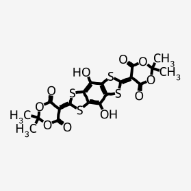 CC1(C)OC(=O)C(=C2Sc3c(O)c4c(c(O)c3S2)SC(=C2C(=O)OC(C)(C)OC2=O)S4)C(=O)O1